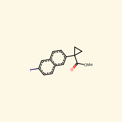 COC(=O)C1(c2ccc3cc(I)ccc3c2)CC1